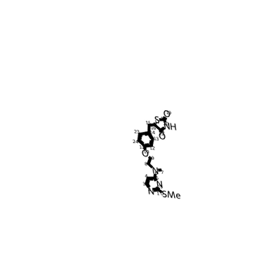 CSc1nccc(N(C)CCOc2ccc(CC3SC(=O)NC3=O)cc2)n1